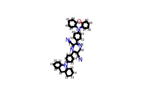 N#CC1=NC(c2ccc(N3C4=C(CCC=C4)Cc4ccccc43)cc2)=C(C#N)CN=C1c1ccc(N2c3ccccc3Oc3ccccc32)cc1